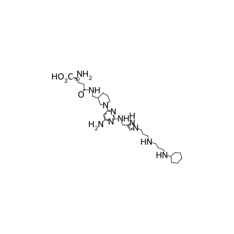 Nc1cc(N2CCCC(CNC(=O)CC[C@H](N)C(=O)O)C2)nc(NCc2cn(CCCNCCCNC3CCCCC3)[nH]2)n1